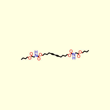 CCCCOC(=O)CNC(=O)OCCCCC#CC#CCCCCOC(=O)NCC(=O)OCCCC